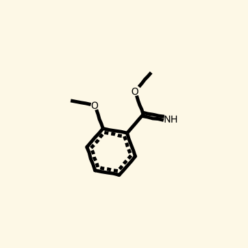 COC(=N)c1ccccc1OC